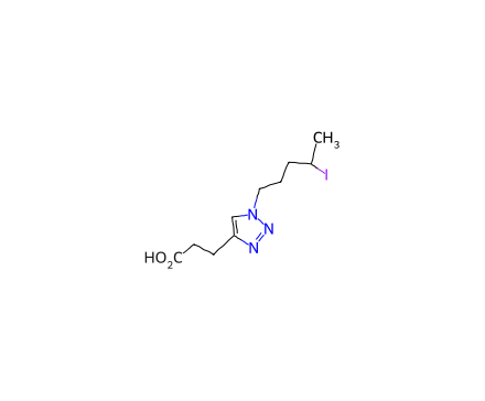 CC(I)CCCn1cc(CCC(=O)O)nn1